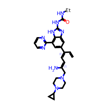 C=C/C(=C\C=C(/N)CN1CCN(C2CC2)CC1)c1cc(-c2ncccn2)c2[nH]c(NC(=O)NCC)nc2c1